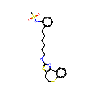 CS(=O)(=O)Nc1ccccc1CCCCCCNc1nc2c(s1)CCSc1ccccc1-2